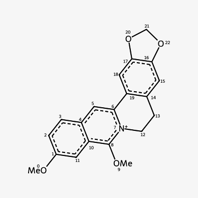 COc1ccc2cc3[n+](c(OC)c2c1)CCc1cc2c(cc1-3)OCO2